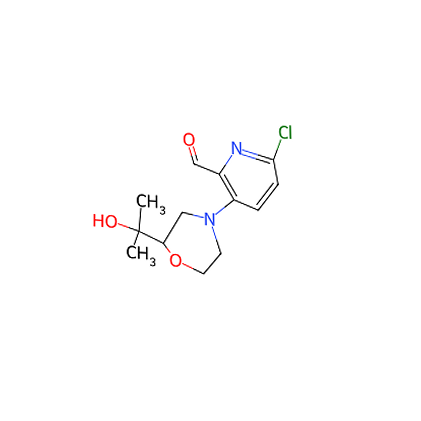 CC(C)(O)C1CN(c2ccc(Cl)nc2C=O)CCO1